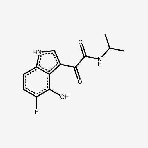 CC(C)NC(=O)C(=O)c1c[nH]c2ccc(F)c(O)c12